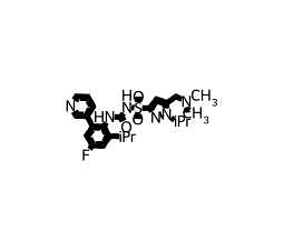 CC(C)c1cc(F)cc(-c2cccnc2)c1NC(=O)NS(=O)(=O)c1cc(CN(C)C)n(C(C)C)n1